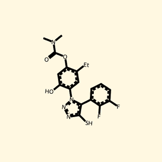 CCc1cc(-n2nnc(S)c2-c2cccc(F)c2F)c(O)cc1OC(=O)N(C)C